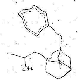 CC(O)C[N+]12CCC(CC1)CN2Cc1ccccc1